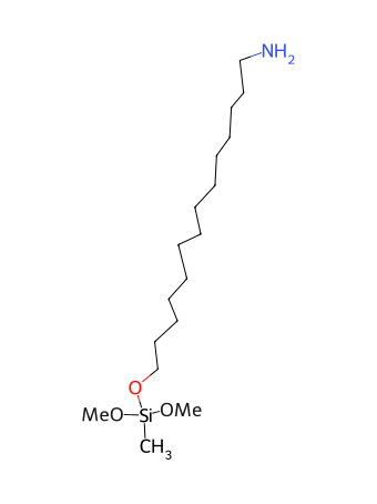 CO[Si](C)(OC)OCCCCCCCCCCCCCCN